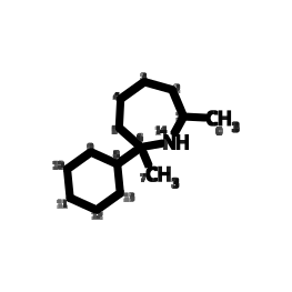 CC1CCCCC(C)(C2CCCCC2)N1